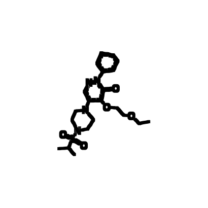 CCOCCOc1c(N2CCN(S(=O)(=O)C(C)C)CC2)cnn(-c2ccccc2)c1=O